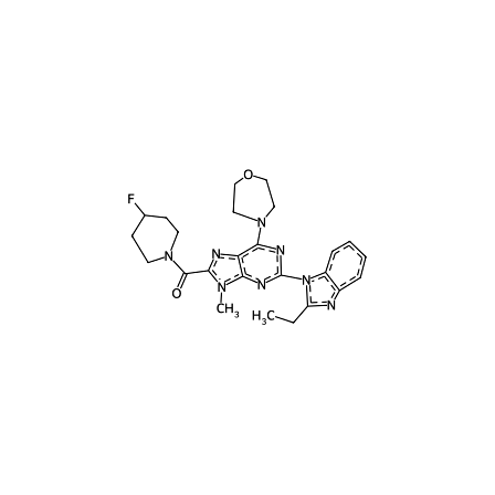 CCc1nc2ccccc2n1-c1nc(N2CCOCC2)c2nc(C(=O)N3CCC(F)CC3)n(C)c2n1